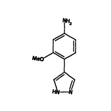 COc1cc(N)ccc1-c1cn[nH]c1